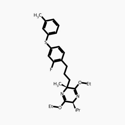 CCOC1=N[C@](C)(CCCc2ccc(Sc3cccc(C)c3)cc2F)C(OCC)=N[C@H]1C(C)C